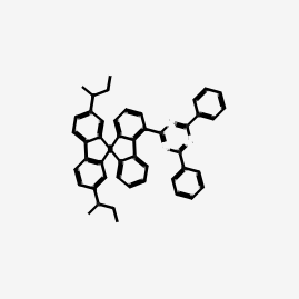 CCC(C)c1ccc2c(c1)C1(c3cc(C(C)CC)ccc3-2)c2ccccc2-c2c(-c3nc(-c4ccccc4)nc(-c4ccccc4)n3)cccc21